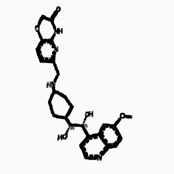 COc1ccc2nccc([C@@H](O)[C@H](O)C3CCC(NCc4ccc5c(n4)NC(=O)CO5)CC3)c2c1